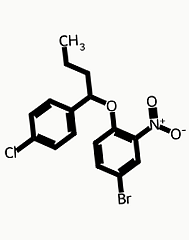 CCCC(Oc1ccc(Br)cc1[N+](=O)[O-])c1ccc(Cl)cc1